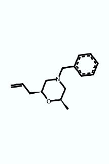 C=CC[C@H]1CN(Cc2ccccc2)C[C@@H](C)O1